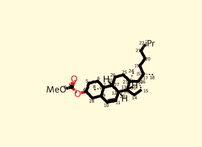 COC(=O)OC1CC[C@]2(C)C(C=C[C@@H]3[C@H]4CC[C@@H]([C@@H](C)CCCC(C)C)[C@]4(C)CC[C@H]32)C1